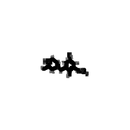 Cc1c(CN2CCNC(C)C2)cc(F)cc1[N+](=O)[O-]